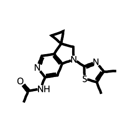 CC(=O)Nc1cc2c(cn1)C1(CC1)CN2c1nc(C)c(C)s1